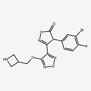 O=c1onc(-c2nonc2OCC2CNC2)n1-c1ccc(F)c(Br)c1